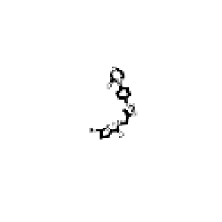 O=C(NCc1cn(-c2ccc(N3CCOCC3=O)cc2)nn1)C1CC=C(Br)S1